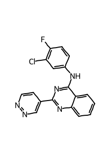 Fc1ccc(Nc2nc(-c3ccnnc3)nc3ccccc23)cc1Cl